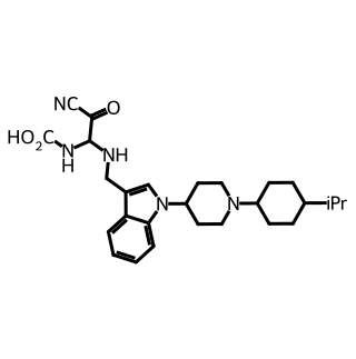 CC(C)C1CCC(N2CCC(n3cc(CNC(NC(=O)O)C(=O)C#N)c4ccccc43)CC2)CC1